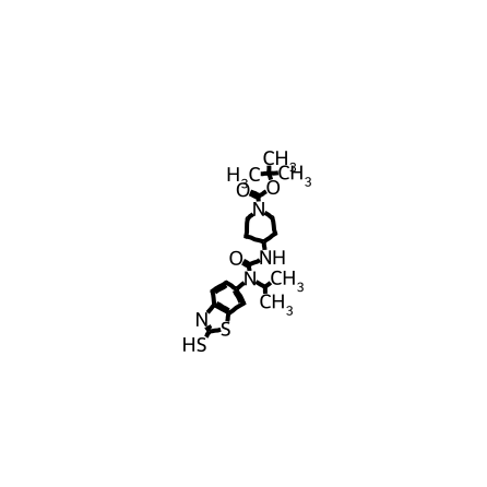 CC(C)N(C(=O)NC1CCN(C(=O)OC(C)(C)C)CC1)c1ccc2nc(S)sc2c1